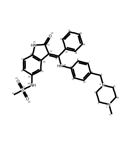 CN1CCN(Cc2ccc(NC(=C3C(=O)Nc4ccc(NS(C)(=O)=O)cc43)c3ccccc3)cc2)CC1